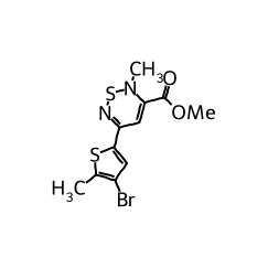 COC(=O)C1=CC(c2cc(Br)c(C)s2)=NSN1C